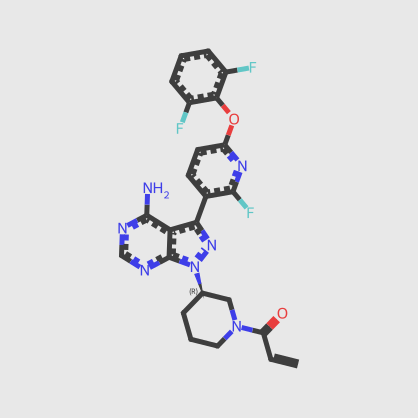 C=CC(=O)N1CCC[C@@H](n2nc(-c3ccc(Oc4c(F)cccc4F)nc3F)c3c(N)ncnc32)C1